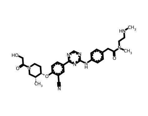 CNCCN(C)C(=O)Cc1ccc(Nc2ncnc(-c3ccc(O[C@H]4CCN(C(=O)CO)C[C@H]4C)c(C#N)c3)n2)cc1